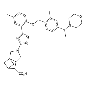 Cc1ccc(OCc2ccc(C(C)N3CCOCC3)cc2C)c(-c2csc(N3CC4C(C(=O)O)C5CC4(C5)C3)n2)c1